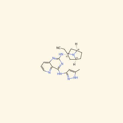 Cc1cc(Nc2nc(N[C@@H]3C[C@H]4CC[C@@H](C3)N4CCC#N)nc3cccnc23)n[nH]1